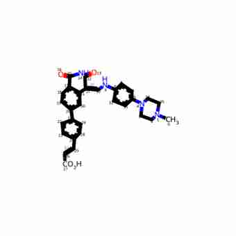 CN1CCN(c2ccc(N/C=C3\C(=O)NC(=O)c4ccc(-c5ccc(/C=C/C(=O)O)cc5)cc43)cc2)CC1